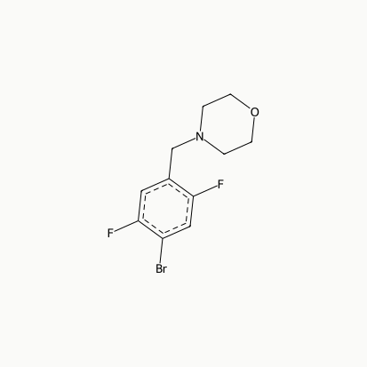 Fc1cc(CN2CCOCC2)c(F)cc1Br